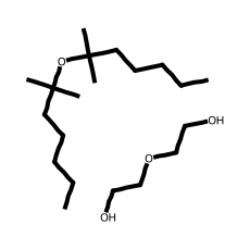 CCCCCC(C)(C)OC(C)(C)CCCCC.OCCOCCO